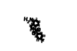 Nc1cccc2c1ccn2S(=O)(=O)c1ccc(F)cc1